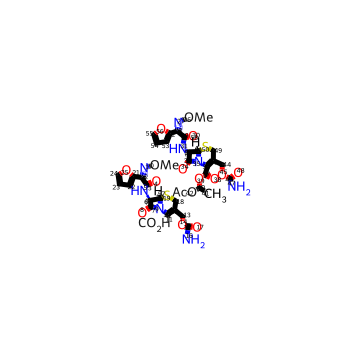 CO/N=C(\C(=O)N[C@@H]1C(=O)N2C(C(=O)O)=C(COC(N)=O)CS[C@H]12)c1ccco1.CO/N=C(\C(=O)N[C@@H]1C(=O)N2C(C(=O)OC(C)OC(C)=O)=C(COC(N)=O)CS[C@H]12)c1ccco1